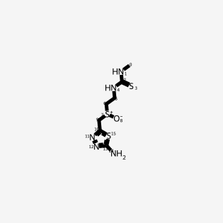 CNC(=S)NCC[S+]([O-])Cc1nnc(N)s1